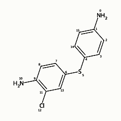 Nc1ccc(Sc2ccc(N)c(Cl)c2)cc1